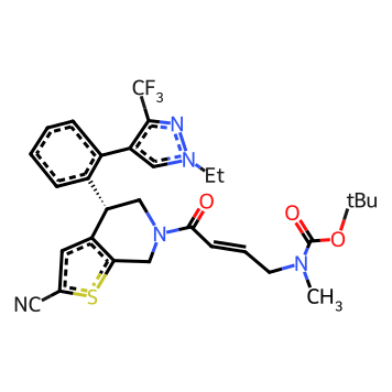 CCn1cc(-c2ccccc2[C@@H]2CN(C(=O)/C=C/CN(C)C(=O)OC(C)(C)C)Cc3sc(C#N)cc32)c(C(F)(F)F)n1